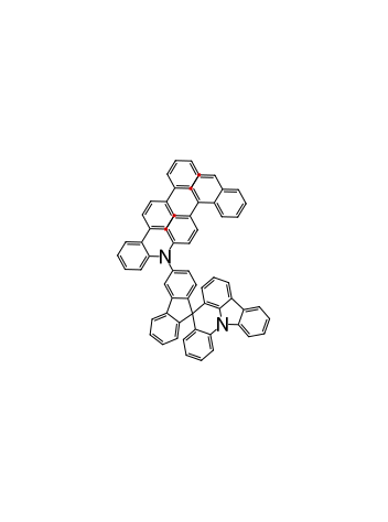 c1ccc(-c2ccc(-c3ccccc3N(c3ccc(-c4cccc5ccccc45)cc3)c3ccc4c(c3)-c3ccccc3C43c4ccccc4-n4c5ccccc5c5cccc3c54)cc2)cc1